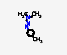 CCN(C)CN=Nc1ccc(C)cc1